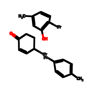 CC(C)C1C=CC(=O)CC1.Cc1ccc(C(C)C)c(O)c1.Cc1ccc(C(C)C)cc1